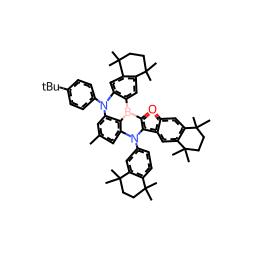 Cc1cc2c3c(c1)N(c1ccc4c(c1)C(C)(C)CCC4(C)C)c1c(oc4cc5c(cc14)C(C)(C)CCC5(C)C)B3c1cc3c(cc1N2c1ccc(C(C)(C)C)cc1)C(C)(C)CCC3(C)C